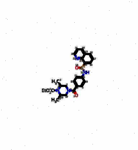 CCOC(=O)N1C(C)CN(C(=O)c2ccc(N[S+]([O-])c3cccc4cccnc34)cc2)CC1C